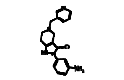 Nc1cccc(-n2[nH]c3c(c2=O)CN(Cc2cccnc2)CC3)c1